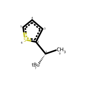 C[C@@H](c1cccs1)C(C)(C)C